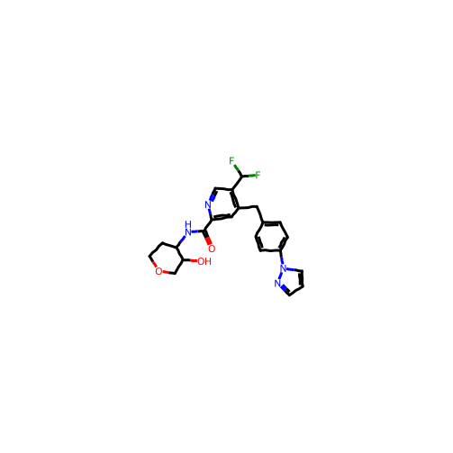 O=C(NC1CCOCC1O)c1cc(Cc2ccc(-n3cccn3)cc2)c(C(F)F)cn1